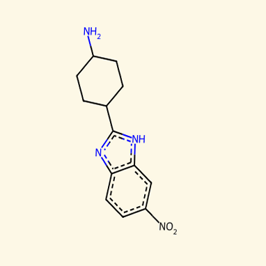 NC1CCC(c2nc3ccc([N+](=O)[O-])cc3[nH]2)CC1